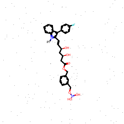 CC(C)n1c(/C=C/[C@@H](O)C[C@@H](O)CC(=O)OCc2cccc(CON(O)O)c2)c(-c2ccc(F)cc2)c2ccccc21